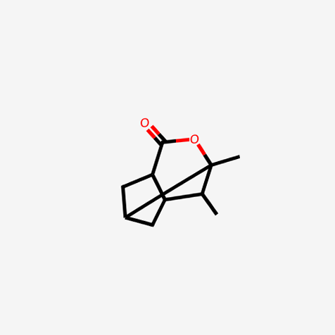 CC1C2CC3CC2C(=O)OC31C